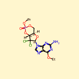 CCOc1nc(N)nc2c1ncn2[C@@H]1O[C@@H]2COP(=O)(OC(C)C)O[C@H]2C1(Cl)Cl